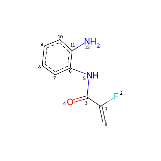 C=C(F)C(=O)Nc1ccccc1N